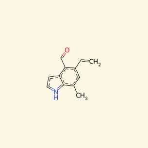 C=Cc1cc(C)c2[nH]ccc2c1C=O